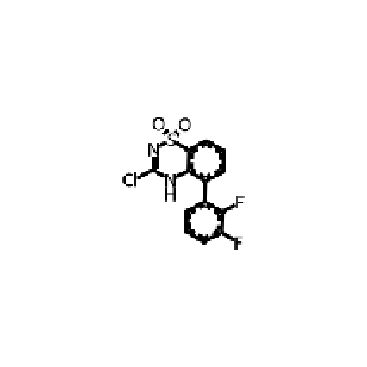 O=S1(=O)N=C(Cl)Nc2c(-c3cccc(F)c3F)cccc21